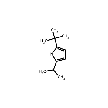 CC(C)C1=CC=C(C(C)(C)C)[N]1